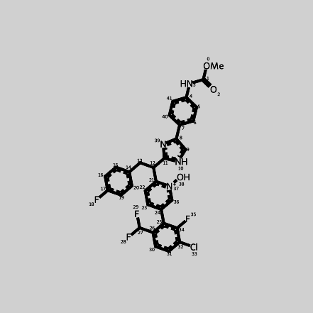 COC(=O)Nc1ccc(-c2c[nH]c(C(Cc3ccc(F)cc3)c3ccc(-c4c(C(F)F)ccc(Cl)c4F)c[n+]3O)n2)cc1